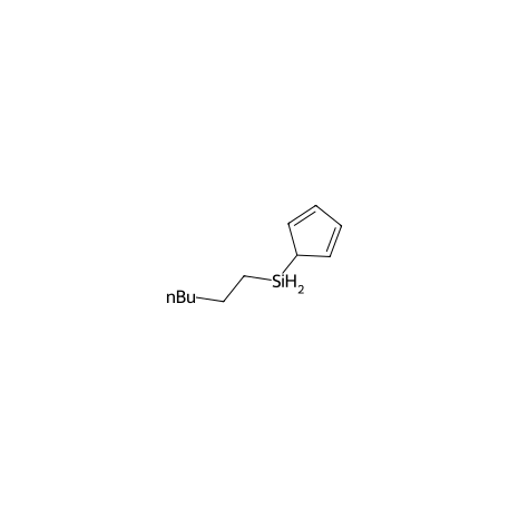 CCCCCC[SiH2]C1C=CC=C1